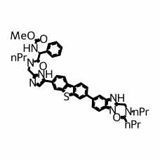 CCCC(=O)N(CCC)Cc1nc2ccc(-c3ccc4c(c3)sc3cc(-c5cnc(CN(CCC)C(=O)[C@H](NC(=O)OC)c6ccccc6)[nH]5)ccc34)cc2[nH]1